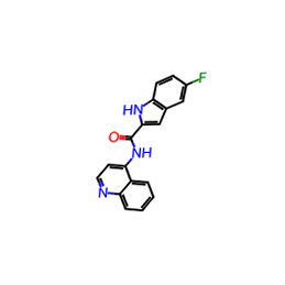 O=C(Nc1ccnc2ccccc12)c1cc2cc(F)ccc2[nH]1